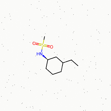 CCC1CCC[C@@H](NS(C)(=O)=O)C1